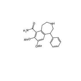 COc1cc2c(c(C(N)=O)c1OC)CCNCC2c1ccccc1